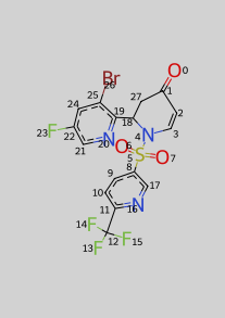 O=C1C=CN(S(=O)(=O)c2ccc(C(F)(F)F)nc2)C(c2ncc(F)cc2Br)C1